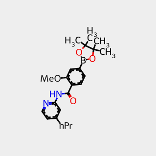 CCCc1ccnc(NC(=O)c2ccc(B3OC(C)(C)C(C)(C)O3)cc2OC)c1